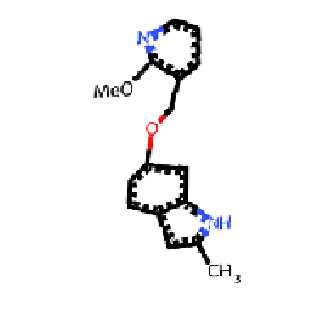 COc1ncccc1COc1ccc2cc(C)[nH]c2c1